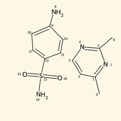 Cc1ccnc(C)n1.Nc1ccc(S(N)(=O)=O)cc1